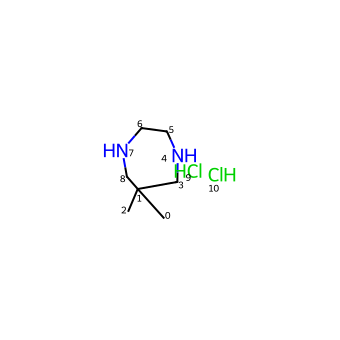 CC1(C)CNCCNC1.Cl.Cl